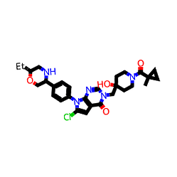 CCC1CNC(c2ccc(-n3c(Cl)cc4c(=O)n(CC5(O)CCN(C(=O)C6(C)CC6)CC5)cnc43)cc2)CO1